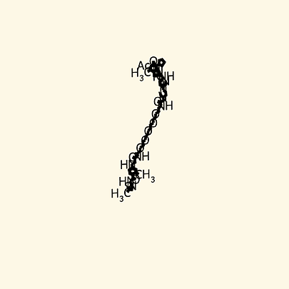 CC(=O)c1c(C)c2cnc(Nc3ccc(N4CCN(CC(=O)NCCOCCOCCOCCOCCOCCNC(=O)CNc5ccc(C(=O)Nc6ncc(C)s6)c(C)c5)CC4)cn3)nc2n(C2CCCC2)c1=O